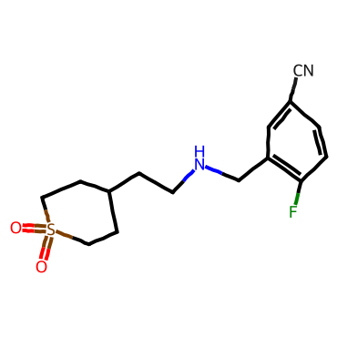 N#Cc1ccc(F)c(CNCCC2CCS(=O)(=O)CC2)c1